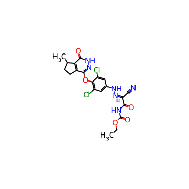 CCOC(=O)NC(=O)/C(C#N)=N/Nc1cc(Cl)c(Oc2n[nH]c(=O)c3c2CCC3C)c(Cl)c1